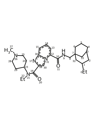 CCC1CC2CCCC(CNC(=O)c3cccc4nc(C(=O)N(CC)C5CCN(C)CC5)cn34)(C1)C2